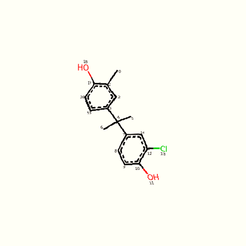 Cc1cc(C(C)(C)c2ccc(O)c(Cl)c2)ccc1O